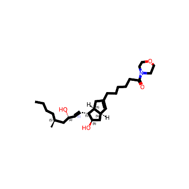 CCCC[C@H](C)C[C@H](O)/C=C/[C@@H]1[C@H]2CC(CCCCCC(=O)N3CCOCC3)=C[C@H]2C[C@H]1O